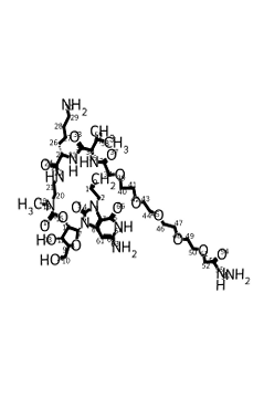 C=CCn1c(=O)n([C@@H]2OC(CO)[C@@H](O)[C@H]2OC(=O)N(C)CCNC(=O)[C@H](CCCCN)NC(=O)[C@@H](NC(=O)COCCOCCOCCOCCOCC(=O)NN)C(C)C)c2cc(N)[nH]c(=O)c21